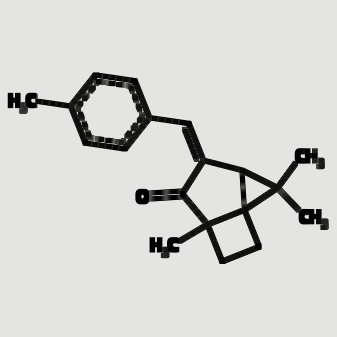 Cc1ccc(/C=C2\C(=O)C3(C)CCC34C2C4(C)C)cc1